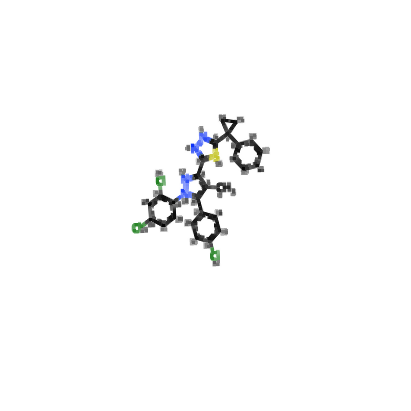 Cc1c(-c2nnc(C3(c4ccccc4)CC3)s2)nn(-c2ccc(Cl)cc2Cl)c1-c1ccc(Cl)cc1